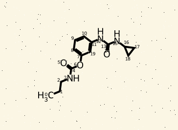 CCCNC(=O)Oc1cccc(NC(=O)NC2CC2)c1